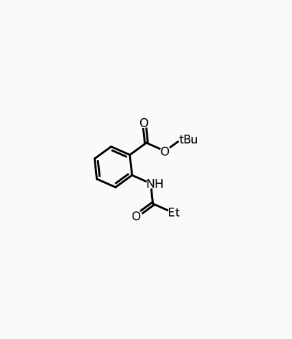 CCC(=O)Nc1ccccc1C(=O)OC(C)(C)C